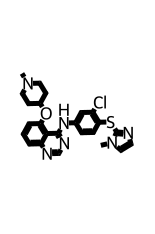 CN1CCC(Oc2cccc3ncnc(Nc4ccc(Sc5nccn5C)c(Cl)c4)c23)CC1